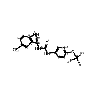 O=C(Nc1ccc(SC(F)(F)F)nc1)Nc1c[nH]c2ccc(Cl)cc12